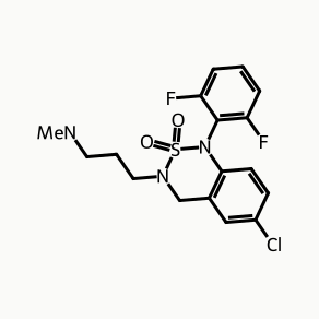 CNCCCN1Cc2cc(Cl)ccc2N(c2c(F)cccc2F)S1(=O)=O